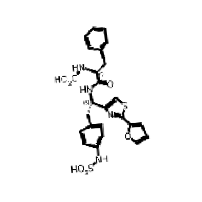 O=C(O)N[C@@H](Cc1ccccc1)C(=O)N[C@@H](Cc1ccc(NS(=O)(=O)O)cc1)c1csc(-c2ccco2)n1